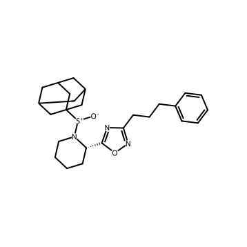 [O-][S+](N1CCCC[C@H]1c1nc(CCCc2ccccc2)no1)C12CC3CC(CC(C3)C1)C2